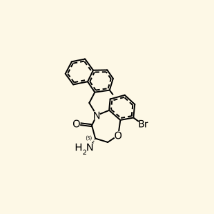 Cc1ccc2ccccc2c1CN1C(=O)[C@@H](N)COc2c(Br)cccc21